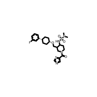 CN(C)S(=O)(=O)NC1CCN(C(=O)c2cncs2)CC1CO[C@H]1CC[C@@H](c2cccc(F)c2)CC1